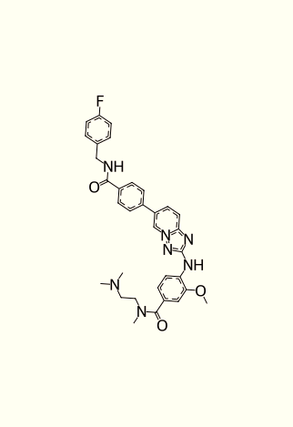 COc1cc(C(=O)N(C)CCN(C)C)ccc1Nc1nc2ccc(-c3ccc(C(=O)NCc4ccc(F)cc4)cc3)cn2n1